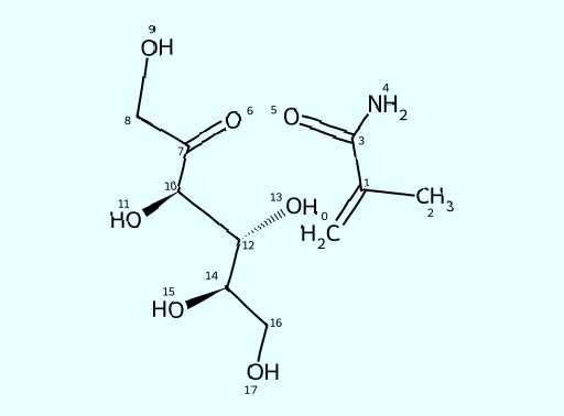 C=C(C)C(N)=O.O=C(CO)[C@H](O)[C@H](O)[C@H](O)CO